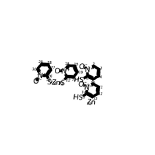 [O-][n+]1ccccc1S.[O-][n+]1ccccc1S.[O-][n+]1ccccc1[S][Zn][S]c1cccc[n+]1[O-].[Zn]